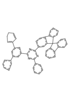 C1=CC(c2cc(-c3ccccc3)cc(-c3nc(-c4ccccc4)nc(-c4ccc5c(c4)C4(c6ccccc6-c6ccccc64)c4ccccc4-5)n3)c2)=CCC1